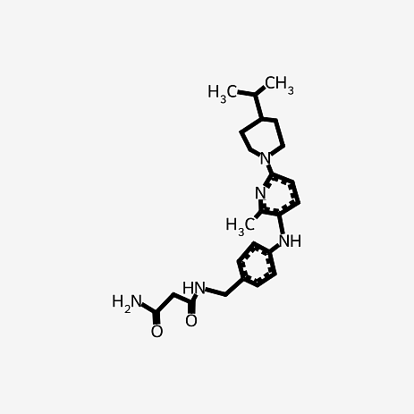 Cc1nc(N2CCC(C(C)C)CC2)ccc1Nc1ccc(CNC(=O)CC(N)=O)cc1